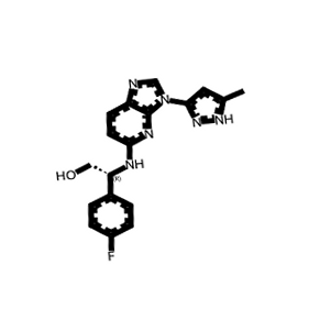 Cc1cc(-n2cnc3ccc(N[C@@H](CO)c4ccc(F)cc4)nc32)n[nH]1